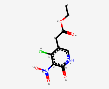 CCOC(=O)Cc1c[nH]c(=O)c([N+](=O)[O-])c1Cl